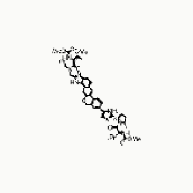 COC(=O)N[C@H](C(=O)N1[C@@H](C)CC[C@H]1c1ncc(-c2ccc3c(c2)COc2cc4c(ccc5nc(CN(CC(C)C)C(=O)[C@@H](NC(=O)OC)[C@@H](C)OC)[nH]c54)cc2-3)[nH]1)C(C)C